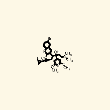 COc1cc(C(O)(CCN(C)C)C(CC#CC2CC2)c2cc3cc(Br)ccc3nc2OC)cc(OC)n1